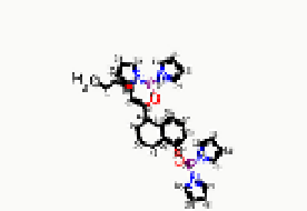 C=C/C=C\C=C(/OP(n1cccc1)n1cccc1)C1CCCc2c(OP(n3cccc3)n3cccc3)cccc21